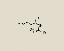 CCCC(=O)NC(C(=O)O)C(O)CSC